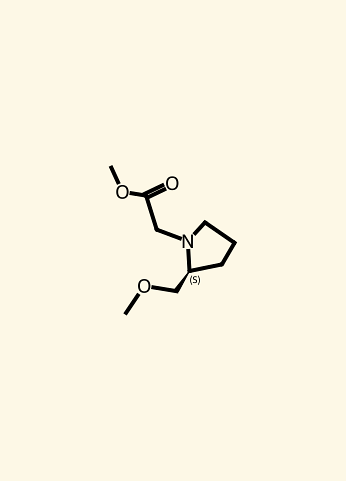 COC[C@@H]1CCCN1CC(=O)OC